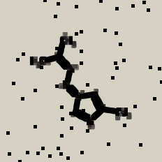 CC1=CS(=NN=C(C)C)C=N1